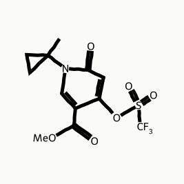 COC(=O)c1cn(C2(C)CC2)c(=O)cc1OS(=O)(=O)C(F)(F)F